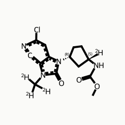 [2H]C([2H])([2H])n1c(=O)n([C@@H]2CC[C@]([2H])(NC(=O)OC)C2)c2cc(Cl)ncc21